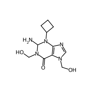 NC1N(CO)C(=O)c2c(ncn2CO)N1C1CCC1